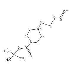 CC(C)(C)OC(=O)N1CCN(CCO[C]=O)CC1